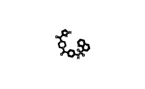 O=C(c1ccc(NS(=O)(=O)c2cccc3cccnc23)cc1)N1CCN(C(=O)c2cc[nH]n2)CC1